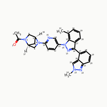 CC(=O)N1C[C@@H]2C[C@H]1CN2c1ccc(-n2nc(-c3cccc4nn(C)cc34)c3cccc(C)c32)cn1